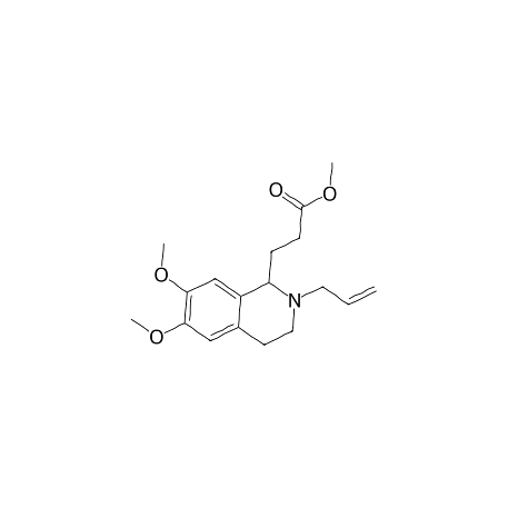 C=CCN1CCc2cc(OC)c(OC)cc2C1CCC(=O)OC